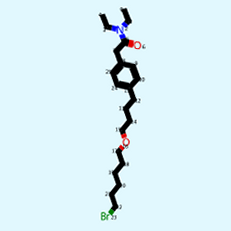 CCN(CC)C(=O)Cc1ccc(CCCCOCCCCCCBr)cc1